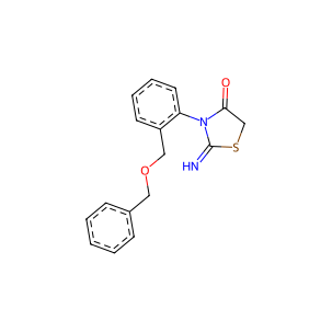 N=C1SCC(=O)N1c1ccccc1COCc1ccccc1